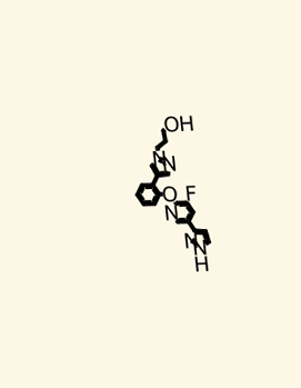 OCCCn1cc(-c2ccccc2Oc2ncc(-c3cc[nH]n3)cc2F)cn1